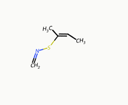 C=NS/C(C)=C\C